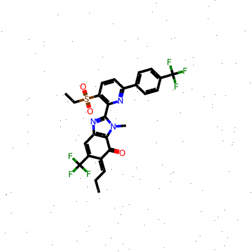 CC/C=C1/C(=O)c2c(nc(-c3nc(-c4ccc(C(F)(F)F)cc4)ccc3S(=O)(=O)CC)n2C)C=C1C(F)(F)F